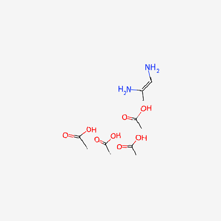 CC(=O)O.CC(=O)O.CC(=O)O.CC(=O)O.CC(N)=CN